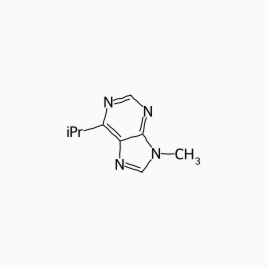 CC(C)c1ncnc2c1ncn2C